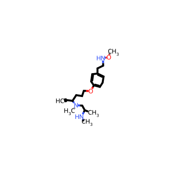 C#CC(CCCOC1=CCC=C(CCNOC)C=C1)N(C)CC(C)NC